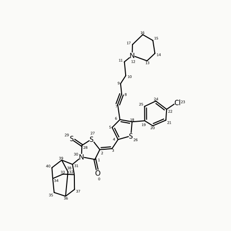 O=C1/C(=C/c2cc(C#CCCCN3CCCCC3)c(-c3ccc(Cl)cc3)s2)SC(=S)N1C1C2CC3CC(C2)CC1C3